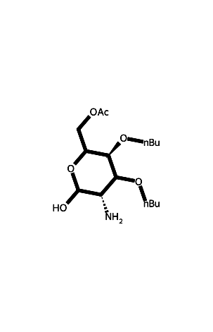 CCCCOC1[C@H](N)C(O)OC(COC(C)=O)[C@H]1OCCCC